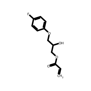 C=CC(=O)OCC(O)COc1ccc(F)cc1